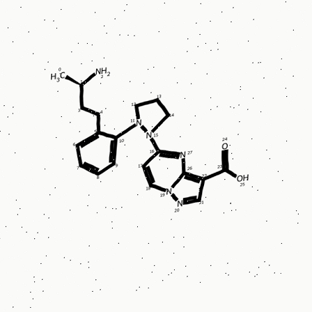 C[C@@H](N)CCc1ccccc1N1CCCN1c1ccn2ncc(C(=O)O)c2n1